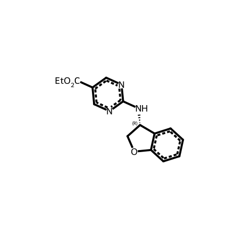 CCOC(=O)c1cnc(N[C@H]2COc3ccccc32)nc1